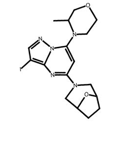 CC1COCCN1c1cc(N2CC3CCC(C2)O3)nc2c(I)cnn12